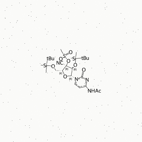 CC(=O)Nc1ccn([C@@H]2O[C@H](CO[Si](C)(C)C(C)(C)C)[C@@](C#N)(OS(C)(=O)=O)[C@H]2O[Si](C)(C)C(C)(C)C)c(=O)n1